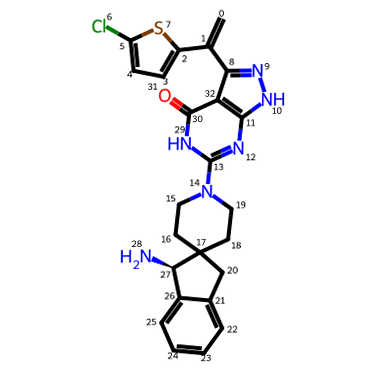 C=C(c1ccc(Cl)s1)c1n[nH]c2nc(N3CCC4(CC3)Cc3ccccc3[C@H]4N)[nH]c(=O)c12